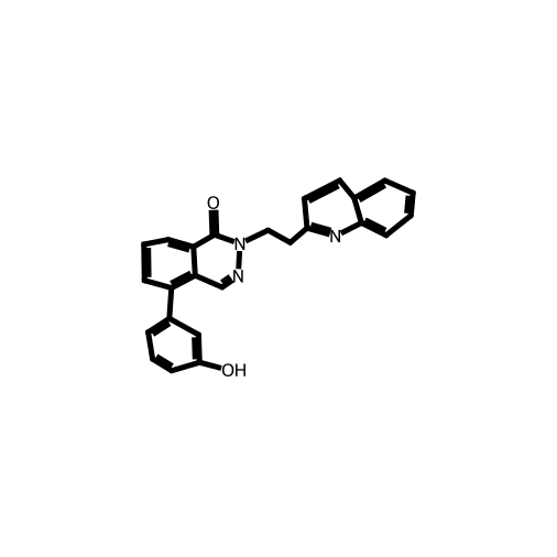 O=c1c2cccc(-c3cccc(O)c3)c2cnn1CCc1ccc2ccccc2n1